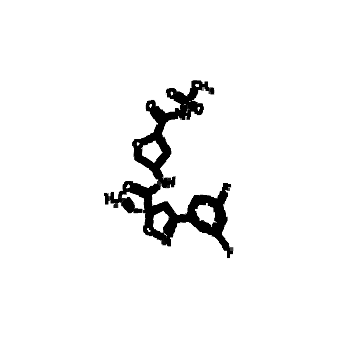 C=C[C@]1(C(=O)NC2COC(C(=O)NS(C)(=O)=O)C2)CC(c2cc(F)cc(F)c2)=NO1